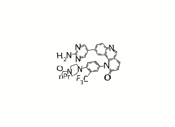 CCCC(=O)N1CCN(c2ccc(-n3c(=O)ccc4cnc5ccc(-c6cnc(N)nc6)cc5c43)cc2C(F)(F)F)CC1